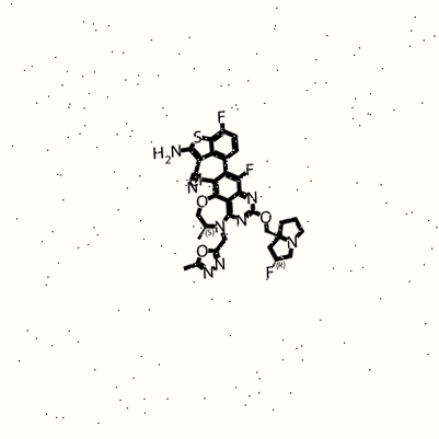 Cc1nnc(CN2c3nc(OC[C@@]45CCCN4C[C@H](F)C5)nc4c(F)c(-c5ccc(F)c6sc(N)c(C#N)c56)c(Cl)c(c34)OC[C@@H]2C)o1